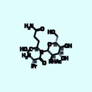 CC(=O)N[C@H]1C(N(C(=O)[C@@H](N)C(C)C)[C@H](CCC(N)=O)C(=O)O)O[C@H](CO)[C@@H](O)[C@@H]1O